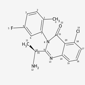 Cc1ccc(F)cc1-n1c([C@H](C)N)nc2cccc(Cl)c2c1=O